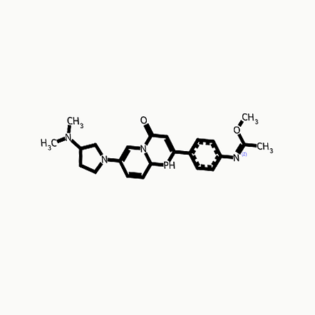 CO/C(C)=N\c1ccc(C2=CC(=O)N3C=C(N4CCC(N(C)C)C4)C=CC3P2)cc1